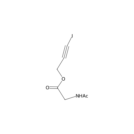 CC(=O)NCC(=O)OCC#CI